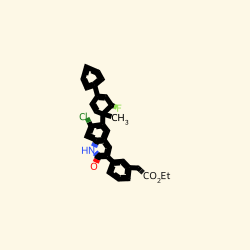 CCOC(=O)Cc1cccc(-c2cc3cc(C4(C)C=CC(c5ccccc5)=CC4F)c(Cl)cc3[nH]c2=O)c1